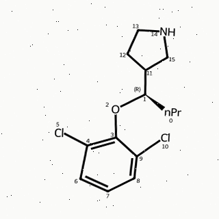 CCC[C@@H](Oc1c(Cl)cccc1Cl)C1CCNC1